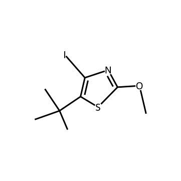 COc1nc(I)c(C(C)(C)C)s1